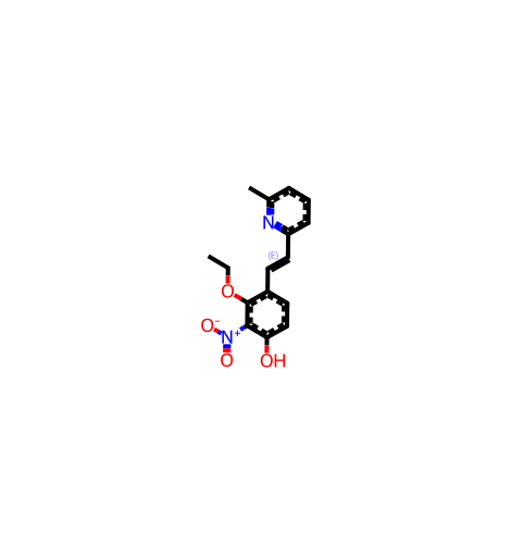 CCOc1c(/C=C/c2cccc(C)n2)ccc(O)c1[N+](=O)[O-]